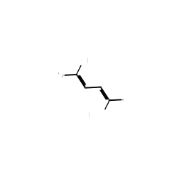 C/C(N)=C\C=C(/C)Br